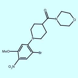 COc1cc(N2CCC(C(=O)N3CCOCC3)CC2)c(Br)cc1[N+](=O)[O-]